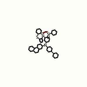 c1ccc(-c2ccc(N(c3ccc4c(c3)[Si]3(c5ccccc5Sc5ccccc53)c3ccccc3[SiH]4c3ccccc3)c3ccc4c(ccc5ccccc54)c3)cc2)cc1